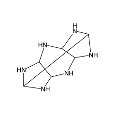 N1C2NC3NC4NC3NC2NC14